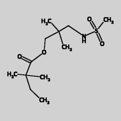 CCC(C)(C)C(=O)OCC(C)(C)CNS(C)(=O)=O